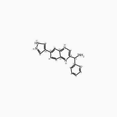 NC(c1ccccn1)c1cnc2cc(-c3cn[nH]c3)ccc2n1